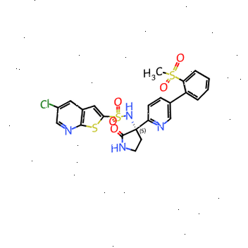 CS(=O)(=O)c1ccccc1-c1ccc([C@@]2(NS(=O)(=O)c3cc4cc(Cl)cnc4s3)CCNC2=O)nc1